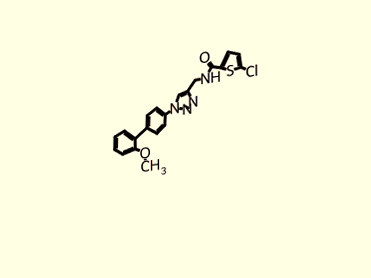 COc1ccccc1-c1ccc(-n2cc(CNC(=O)c3ccc(Cl)s3)nn2)cc1